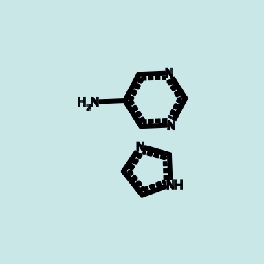 Nc1cncnc1.c1c[nH]cn1